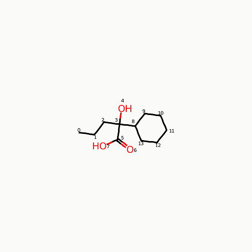 CCCC(O)(C(=O)O)C1CCCCC1